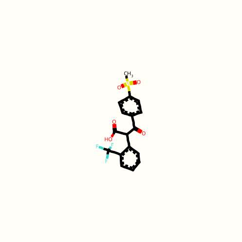 CS(=O)(=O)c1ccc(C(=O)C(C(=O)O)c2ccccc2C(F)(F)F)cc1